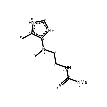 CNC(=S)NCCN(C)c1nc[nH]c1C